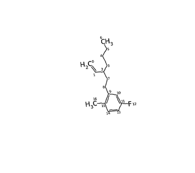 C=CC(CCCC)CCc1cc(F)ccc1C